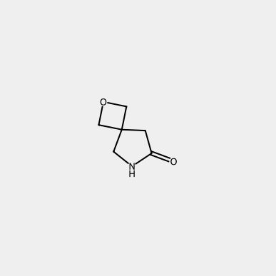 O=C1CC2(CN1)COC2